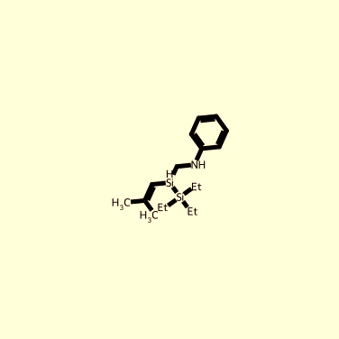 CC[Si](CC)(CC)[SiH](C=C(C)C)CNc1ccccc1